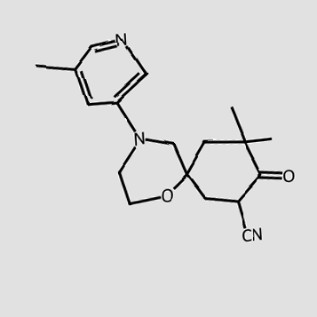 Cc1cncc(N2CCOC3(CC(C#N)C(=O)C(C)(C)C3)C2)c1